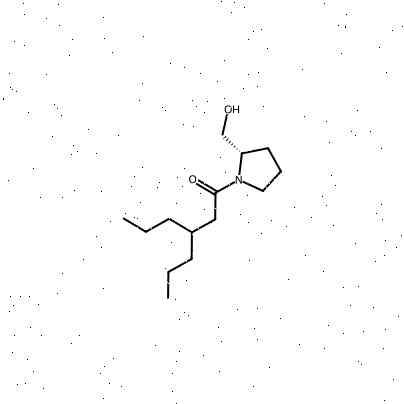 CCCC(CCC)CC(=O)N1CCC[C@H]1CO